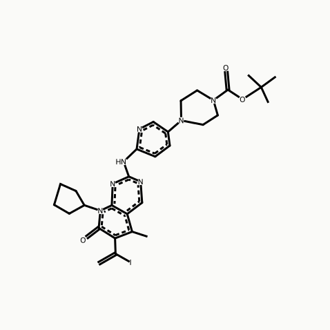 C=C(I)c1c(C)c2cnc(Nc3ccc(N4CCN(C(=O)OC(C)(C)C)CC4)cn3)nc2n(C2CCCC2)c1=O